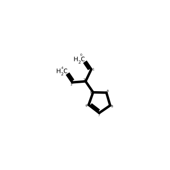 C=CC(C=C)C1C=CCC1